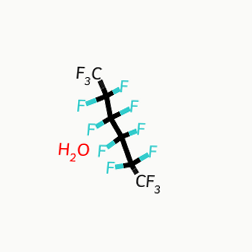 FC(F)(F)C(F)(F)C(F)(F)C(F)(F)C(F)(F)C(F)(F)F.O